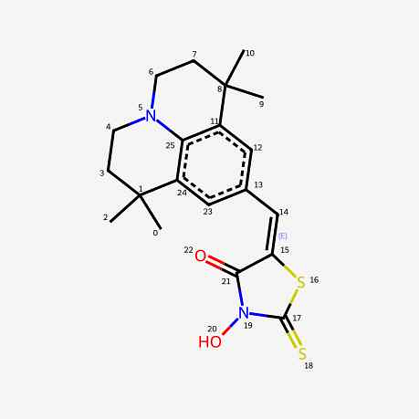 CC1(C)CCN2CCC(C)(C)c3cc(/C=C4/SC(=S)N(O)C4=O)cc1c32